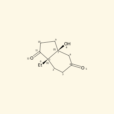 CC[C@]12CCC(=O)C[C@@]1(O)CCC2=O